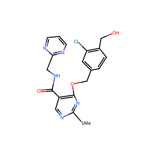 CSc1ncc(C(=O)NCc2ncccn2)c(OCc2ccc(CO)c(Cl)c2)n1